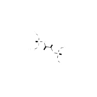 NSP(=O)(NC(=O)C(=O)NP(=O)(SN)SN)SN